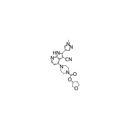 Cn1cc(-c2[nH]c3nccc(N4CCN(C(=O)O[C@H]5CCOC5)CC4)c3c2C#N)cn1